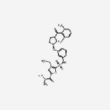 COc1cc(C(=O)N(C)C)sc1S(=O)(=O)Nc1cccc(O[C@H]2CCN(C(=O)c3c(C)cccc3C)C2)c1